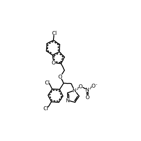 O=[N+]([O-])O[N+]1(CC(OCc2cc3cc(Cl)ccc3o2)c2ccc(Cl)cc2Cl)C=CN=C1